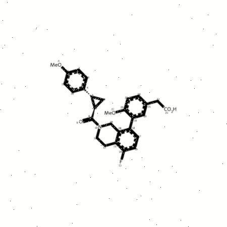 COc1ccc([C@@H]2C[C@H]2C(=O)N2CCc3c(F)ccc(-c4cc(CC(=O)O)ccc4OC)c3C2)cc1